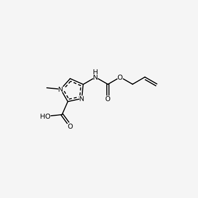 C=CCOC(=O)Nc1cn(C)c(C(=O)O)n1